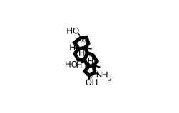 C[C@]12CC[C@@H](O)C[C@H]1C[C@H](O)[C@@H]1[C@@H]2CC[C@]2(C)[C@H](N)[C@@H](O)C[C@@H]12